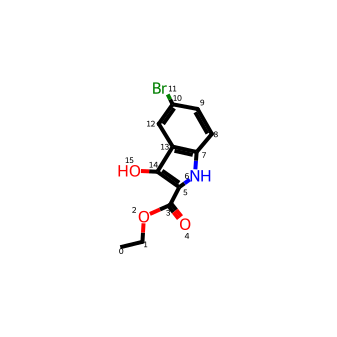 CCOC(=O)c1[nH]c2ccc(Br)cc2c1O